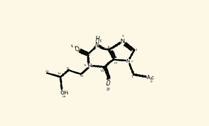 CC(=O)Cn1cnc2[nH]c(=O)n(CCC(C)O)c(=O)c21